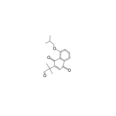 CC(C)COc1cccc2c1C(=O)C(C(C)(C)C=O)=CC2=O